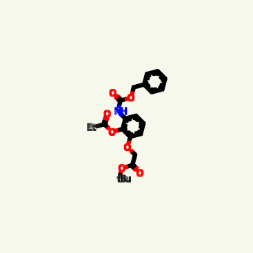 CCC(=O)Oc1c(NC(=O)OCc2ccccc2)cccc1OCC(=O)OC(C)(C)C